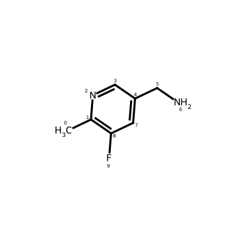 Cc1ncc(CN)cc1F